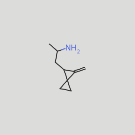 C=C1C(CC(C)N)C12CC2